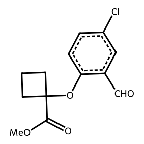 COC(=O)C1(Oc2ccc(Cl)cc2C=O)CCC1